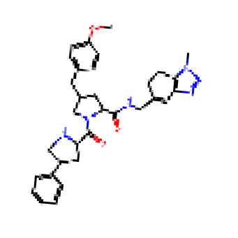 COc1ccc(CC2CC(C(=O)NCC3=Cc4nnn(C)c4CC3)N(C(=O)C3CC(c4ccccc4)CN3)C2)cc1